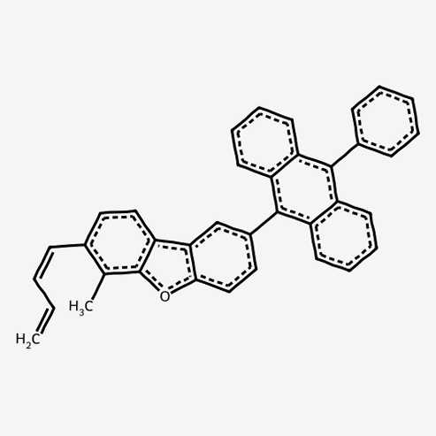 C=C/C=C\c1ccc2c(oc3ccc(-c4c5ccccc5c(-c5ccccc5)c5ccccc45)cc32)c1C